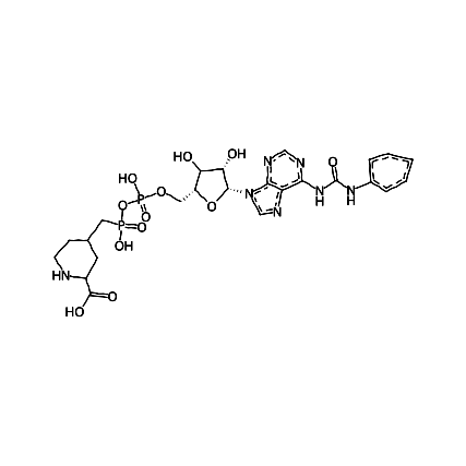 O=C(Nc1ccccc1)Nc1ncnc2c1ncn2[C@@H]1O[C@H](COP(=O)(O)OP(=O)(O)CC2CCNC(C(=O)O)C2)C(O)[C@@H]1O